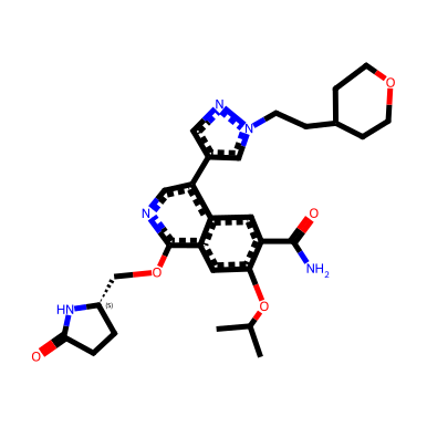 CC(C)Oc1cc2c(OC[C@@H]3CCC(=O)N3)ncc(-c3cnn(CCC4CCOCC4)c3)c2cc1C(N)=O